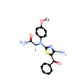 CCOc1ccc(N(c2nc(N)c(C(=O)c3ccccc3)s2)[C@H](C)C(N)=O)cc1